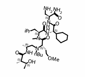 CCCCN(C[C@@H](C)NC(=O)[C@@H](C)[C@H](C)O)[C@@H](CCOC)C(=O)N(C)[C@@H](CC(C)C)C(=O)N[C@H](C(=O)N[C@@H](CN)C(N)=O)C1CCCCC1